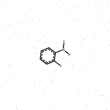 Fc1cccc[c]1[Al]([F])[F]